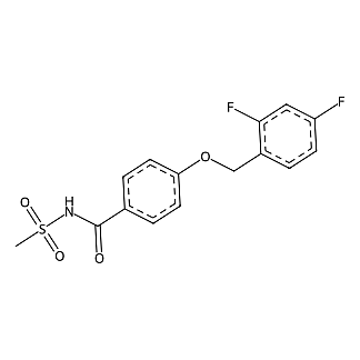 CS(=O)(=O)NC(=O)c1ccc(OCc2ccc(F)cc2F)cc1